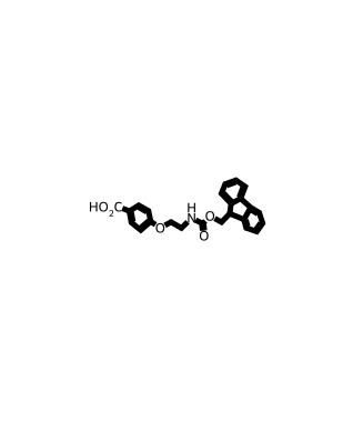 O=C(NCCOc1ccc(C(=O)O)cc1)OCC1c2ccccc2-c2ccccc21